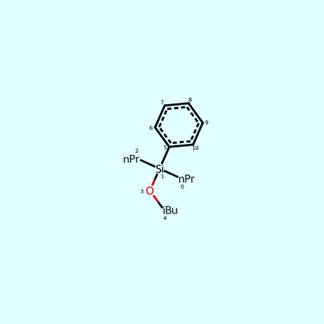 CCC[Si](CCC)(OC(C)CC)c1ccccc1